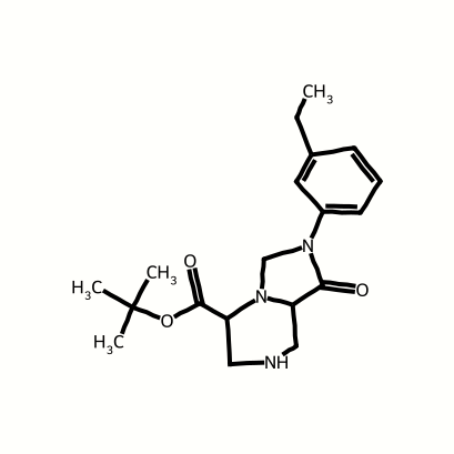 CCc1cccc(N2CN3C(C(=O)OC(C)(C)C)CNCC3C2=O)c1